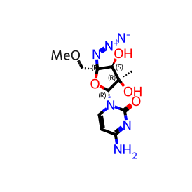 COC[C@@]1(N=[N+]=[N-])O[C@@H](n2ccc(N)nc2=O)[C@](C)(O)[C@@H]1O